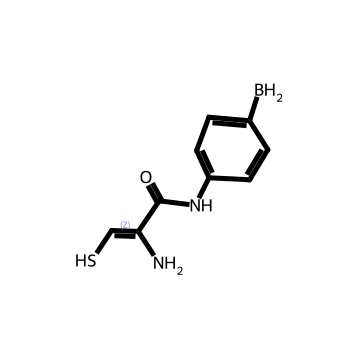 Bc1ccc(NC(=O)/C(N)=C/S)cc1